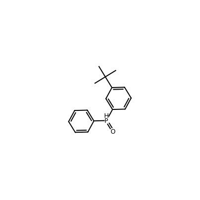 CC(C)(C)c1cccc([PH](=O)c2ccccc2)c1